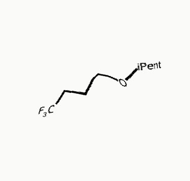 CCCC(C)OCCCC(F)(F)F